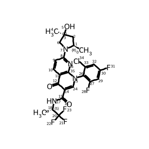 C[C@@H]1C[C@](C)(O)CN1c1ccc2c(=O)c(C(=O)N[C@@H](C)C(F)(F)F)cn(-c3c(F)cc(F)cc3Cl)c2n1